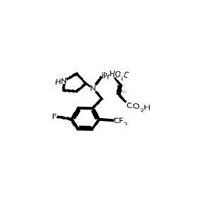 CC(C)N(Cc1cc(F)ccc1C(F)(F)F)C1CCNC1.O=C(O)/C=C/C(=O)O